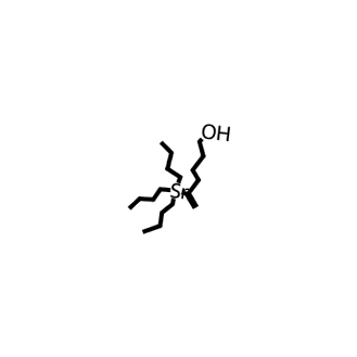 C=[C](CCCCO)[Sn]([CH2]CCC)([CH2]CCC)[CH2]CCC